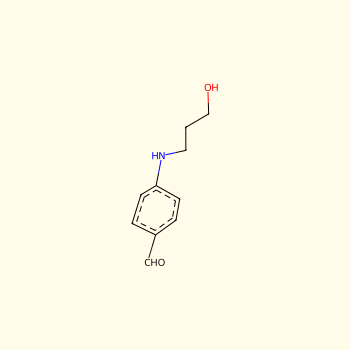 O=Cc1ccc(NCCCO)cc1